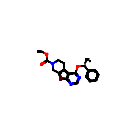 CC(C)(C)OC(=O)N1CCc2c(sc3ncnc(O[C@@H](c4ccccc4)C(F)(F)F)c23)C1